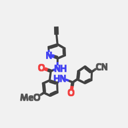 C#Cc1ccc(NC(=O)c2cc(OC)ccc2NC(=O)c2ccc(C#N)cc2)nc1